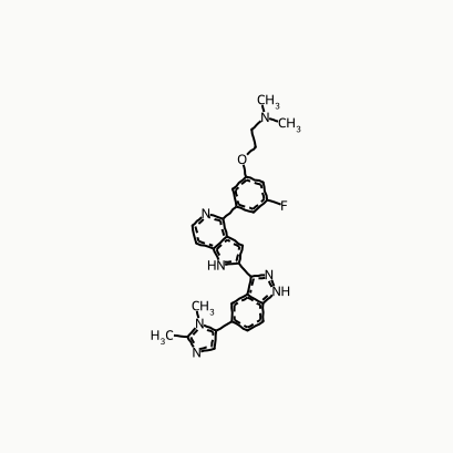 Cc1ncc(-c2ccc3[nH]nc(-c4cc5c(-c6cc(F)cc(OCCN(C)C)c6)nccc5[nH]4)c3c2)n1C